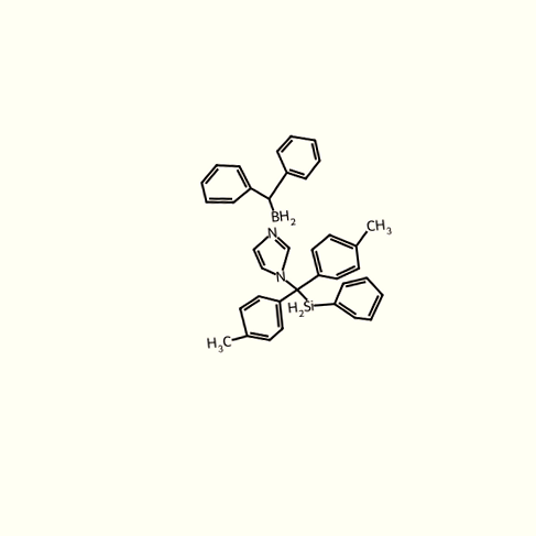 BC(c1ccccc1)c1ccccc1.Cc1ccc(C([SiH2]c2ccccc2)(c2ccc(C)cc2)n2ccnc2)cc1